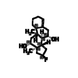 C[C@@]12C[C@H](F)C[C@H]1[C@@H]1[C@@H](O)CC3=CCCC[C@]3(C)[C@H]1C[C@H]2O